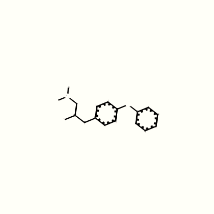 CCN(CC)CC(C)Cc1ccc(Sc2ccccc2)cc1